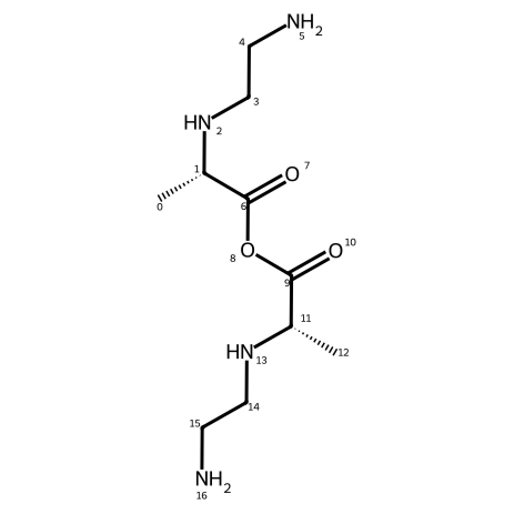 C[C@H](NCCN)C(=O)OC(=O)[C@H](C)NCCN